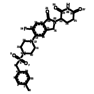 Cc1ccc(CS(=O)(=O)N2CCN(c3cc4c(cc3F)C(=O)N(C3CCC(=O)NC3=O)C4)CC2)cc1